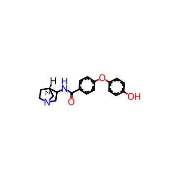 O=C(NC1CN2CC[C@H]1C2)c1ccc(Oc2ccc(O)cc2)cc1